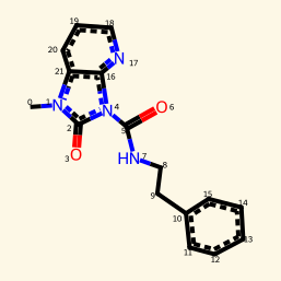 Cn1c(=O)n(C(=O)NCCc2ccccc2)c2ncccc21